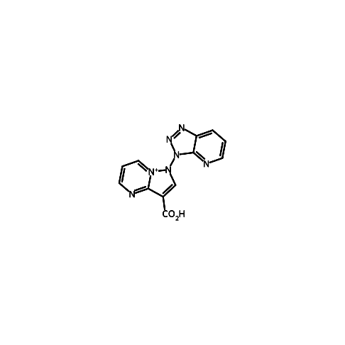 O=C(O)c1cn(-n2nnc3cccnc32)[n+]2cccnc12